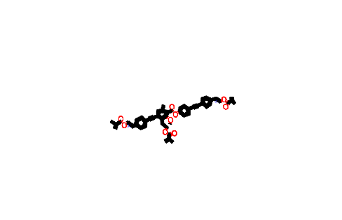 C=C(C)C(=O)O/C=C/c1ccc(C#Cc2ccc(OC(=O)c3c(C)cc(C#Cc4ccc(/C=C/OC(=O)C(=C)C)cc4)c(CCOC(=O)C(=C)C)c3OC)cc2)cc1